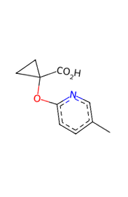 Cc1ccc(OC2(C(=O)O)CC2)nc1